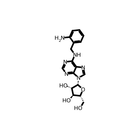 Nc1ccccc1CNc1ncnc2c1ncn2[C@@H]1O[C@H](CO)[C@@H](O)[C@@H]1O